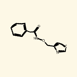 O=C(NOCc1cscn1)c1ccccc1